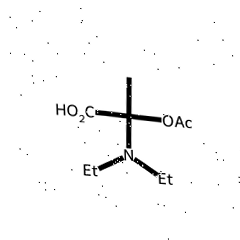 CCN(CC)C(C)(OC(C)=O)C(=O)O